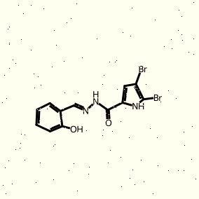 O=C(N/N=C/c1ccccc1O)c1cc(Br)c(Br)[nH]1